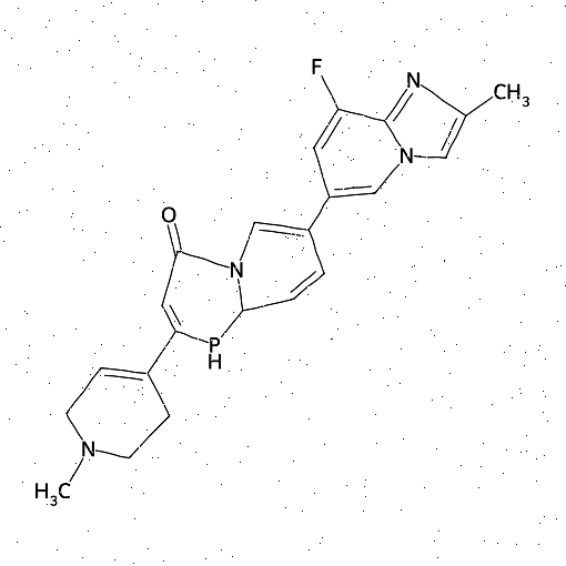 Cc1cn2cc(C3=CN4C(=O)C=C(C5=CCN(C)CC5)PC4C=C3)cc(F)c2n1